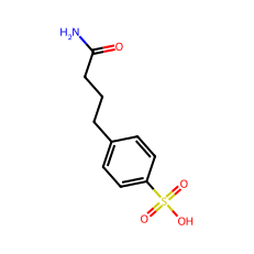 NC(=O)CCCc1ccc(S(=O)(=O)O)cc1